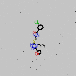 CC(C)Cn1c(SCc2noc(-c3cccc(Cl)c3)n2)nnc1-c1ccco1